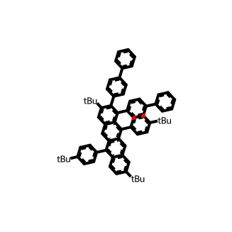 CC(C)(C)c1ccc(-c2c3ccc(C(C)(C)C)cc3cc3c(-c4ccc(C(C)(C)C)cc4)c4c(-c5ccc(-c6ccccc6)cc5)c(-c5ccc(-c6ccccc6)cc5)c(C(C)(C)C)cc4cc23)cc1